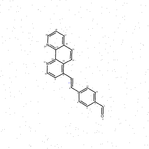 O=Cc1ccc(/C=C/c2ccnc3c2ccc2cccnc23)cc1